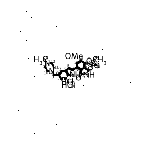 COc1cc(-c2cc3cc(CN4CCN(C)CC4)ccc3[nH]2)c2c(c1OS(C)(=O)=O)CNC2=O.Cl.Cl